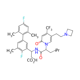 Cc1cc(-c2c(C)cc(F)cc2C)cc(C(CC(=O)O)NC(=O)C(CC(C)C)n2cc(CCN3CCC3)c(C(F)(F)F)cc2=O)c1F